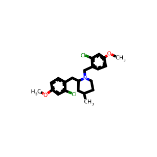 COc1ccc(CC2CC(C)CCN2Cc2ccc(OC)cc2Cl)c(Cl)c1